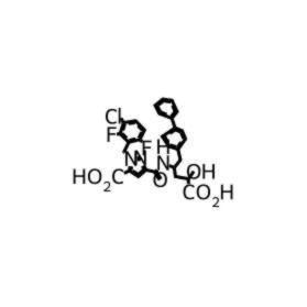 O=C(NC(Cc1ccc(-c2ccccc2)cc1)CC(O)C(=O)O)c1cc(C(=O)O)n(Cc2c(F)ccc(Cl)c2F)n1